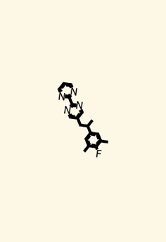 Cc1cc(C(C)Cc2cnc(-c3ncccn3)nc2)cc(C)c1F